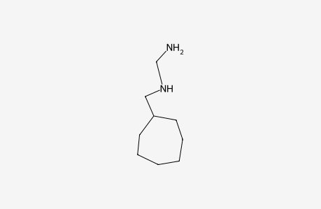 NCNCC1CCCCCC1